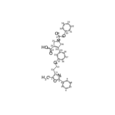 Cc1oc(-c2ccccc2)nc1CCOc1cccc(C2=C(C(=O)O)CN(C(=O)Oc3ccccc3)C2)c1